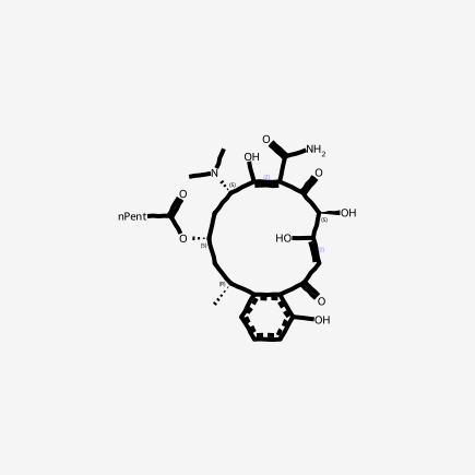 CCCCCC(=O)O[C@H]1C[C@@H](C)c2cccc(O)c2C(=O)/C=C(\O)[C@H](O)C(=O)/C(C(N)=O)=C(/O)[C@@H](N(C)C)C1